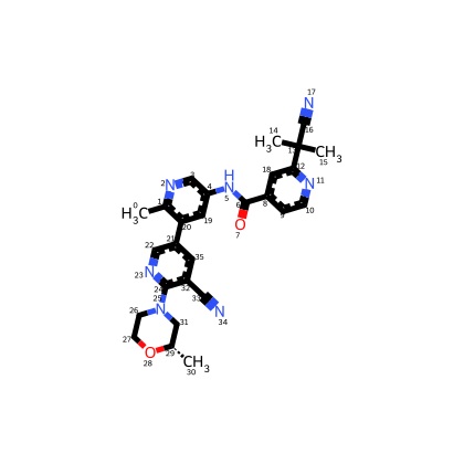 Cc1ncc(NC(=O)c2ccnc(C(C)(C)C#N)c2)cc1-c1cnc(N2CCO[C@@H](C)C2)c(C#N)c1